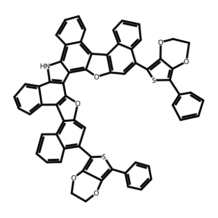 c1ccc(-c2sc(-c3cc4oc5c(c6ccccc6c6[nH]c7c8ccccc8c8c(oc9cc(-c%10sc(-c%11ccccc%11)c%11c%10OCCO%11)c%10ccccc%10c98)c7c65)c4c4ccccc34)c3c2OCCO3)cc1